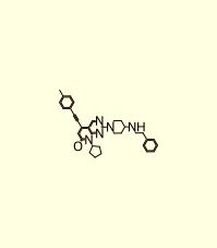 Cc1ccc(C#Cc2cc(=O)n(C3CCCC3)c3nc(N4CCC(NCCc5ccccc5)CC4)ncc23)cc1